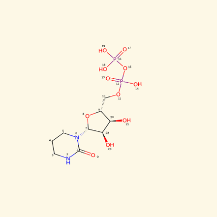 O=C1NCCCN1[C@@H]1O[C@H](COP(=O)(O)OP(=O)(O)O)[C@@H](O)[C@H]1O